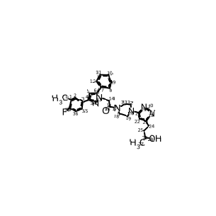 Cc1cc(-c2cc(-c3ccccc3)n(CC(=O)N3CCN(c4cc(CCC(C)O)ncn4)CC3)n2)ccc1F